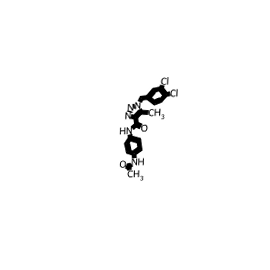 CC(=O)Nc1ccc(NC(=O)c2nnn(Cc3ccc(Cl)c(Cl)c3)c2C)cc1